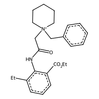 CCOC(=O)c1cccc(CC)c1NC(=O)C[N+]1(Cc2ccccc2)CCCCC1